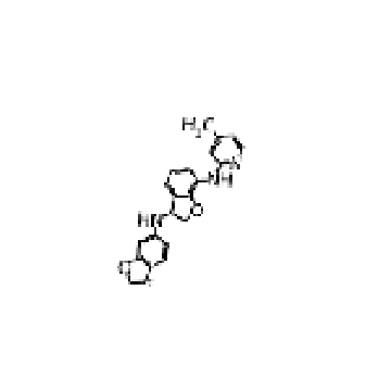 Cc1ccnc(Nc2cccc3c2OC[C@H]3Nc2ccc3c(c2)OC[C]3)c1